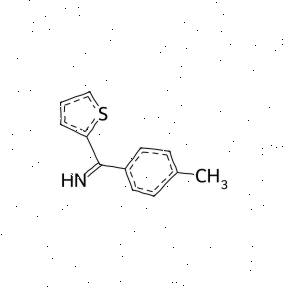 Cc1ccc(C(=N)c2cccs2)cc1